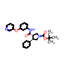 CC(C)(C)OC(=O)N1C[C@@H](C(=O)Nc2cccc(Oc3cccnc3)c2)[C@H](c2ccccc2)C1